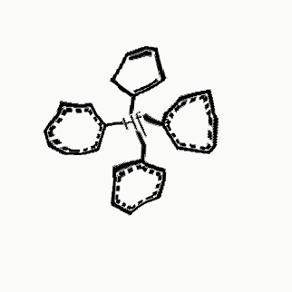 C1=CC[C]([Hf]([c]2ccccc2)([c]2ccccc2)[c]2ccccc2)=C1